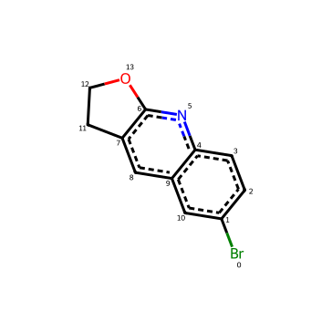 Brc1ccc2nc3c(cc2c1)CCO3